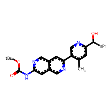 CCCC(O)c1cc(C)c(-c2cc3cnc(NC(=O)OC(C)(C)C)cc3cn2)cn1